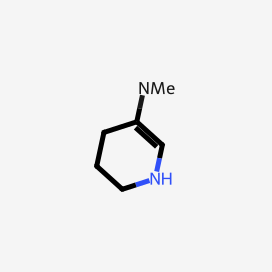 CNC1=CNCCC1